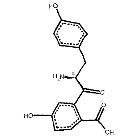 N[C@@H](Cc1ccc(O)cc1)C(=O)c1cc(O)ccc1C(=O)O